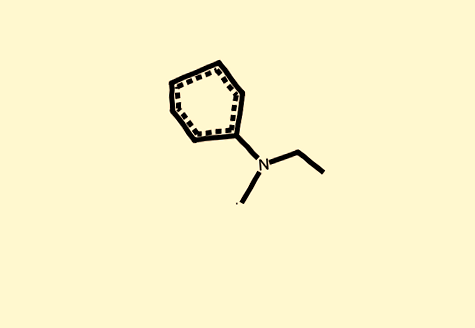 [CH2]N(CC)c1ccccc1